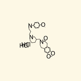 COc1ccc(N(C)CCCN2CCCC(CN3CCc4cc5c(cc4CC3=O)OCO5)C2)cc1.Cl.Cl